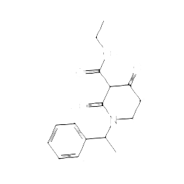 CCOC(=O)C1C(=O)CCN(C(C)c2ccccc2)C1=O